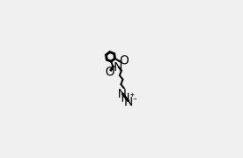 [N-]=[N+]=NCCCCCN1C(=O)c2ccccc2C1=O